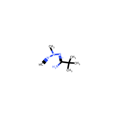 C#[N+]N(C)/N=C(\N)C(C)(C)C